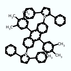 Cc1cc(-c2c3ccc(-n4c(-c5ccccc5)ccc4-c4ccccc4)cc3c(-c3cc(C)c(C)c(C)c3)c3ccc(-n4c(-c5ccccc5)ccc4-c4ccccc4)cc23)cc(C)c1C